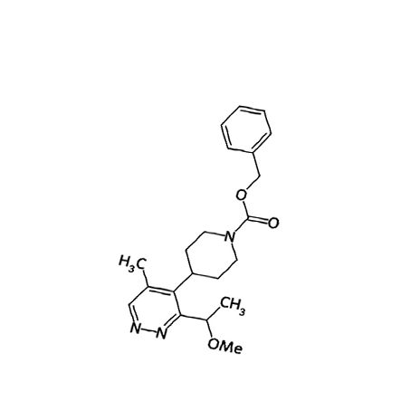 COC(C)c1nncc(C)c1C1CCN(C(=O)OCc2ccccc2)CC1